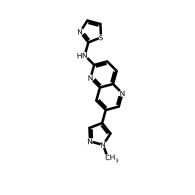 Cn1cc(-c2cnc3ccc(Nc4nccs4)nc3c2)cn1